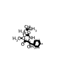 COC(=O)[C@@H](NC(=O)OC(C)(C)C)[C@@H](O)c1ccccc1